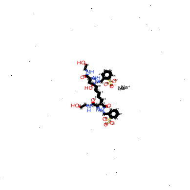 O=C(NCCO)C1=CC(O)(C=CC=CC=C2C(=O)N(Cc3ccccc3S(=O)(=O)[O-])N=C2C(=O)NCCO)N(Cc2ccccc2S(=O)(=O)[O-])N1.[Na+].[Na+]